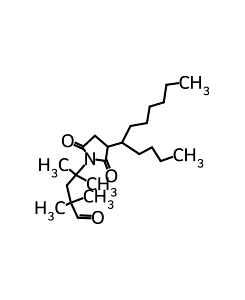 CCCCCCC(CCCC)C1CC(=O)N(C(C)(C)CC(C)(C)C=O)C1=O